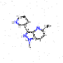 CC(C)c1ccc2c(n1)c(-c1cccnc1)nn2C